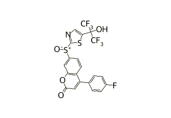 O=c1cc(-c2ccc(F)cc2)c2ccc([S+]([O-])c3ncc(C(O)(C(F)(F)F)C(F)(F)F)s3)cc2o1